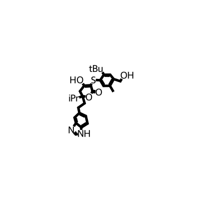 Cc1cc(SC2=C(O)CC(CCc3ccc4[nH]cnc4c3)(C(C)C)OC2=O)c(C(C)(C)C)cc1CO